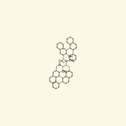 CN(Cc1cc2ccccc2c(-c2c(-c3ccccc3)ccc3ccccc23)c1O)C1CCCCC1N(C)Cc1cc2ccccc2c(-c2c(-c3ccccc3)ccc3ccccc23)c1O